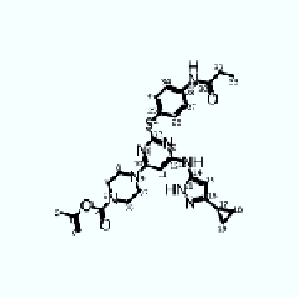 C=C(C)OC(=O)N1CCN(c2cc(Nc3cc(C4CC4)n[nH]3)nc(Sc3ccc(NC(=O)CC)cc3)n2)CC1